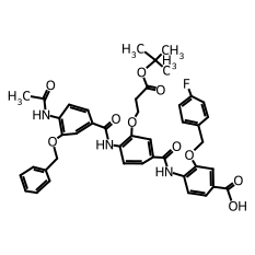 CC(=O)Nc1ccc(C(=O)Nc2ccc(C(=O)Nc3ccc(C(=O)O)cc3OCc3ccc(F)cc3)cc2OCCC(=O)OC(C)(C)C)cc1OCc1ccccc1